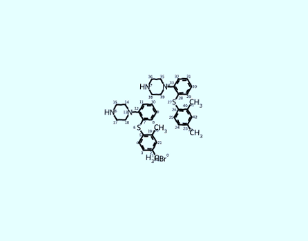 Br.Cc1ccc(Sc2ccccc2N2CCNCC2)c(C)c1.Cc1ccc(Sc2ccccc2N2CCNCC2)c(C)c1